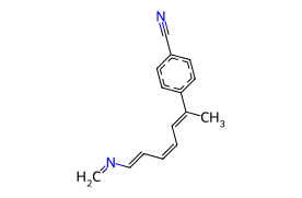 C=N/C=C/C=C\C=C(/C)c1ccc(C#N)cc1